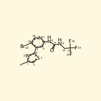 Cc1csc(-c2cc(NC(=O)NCC(F)(F)F)ncc2Br)n1